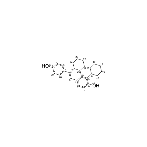 Oc1ccc(C=Cc2ccc(O)c(C3CCCCC3)c2C2CCCCC2)cc1